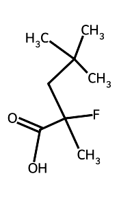 CC(C)(C)CC(C)(F)C(=O)O